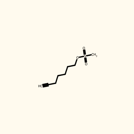 C#CCCCCCOS(C)(=O)=O